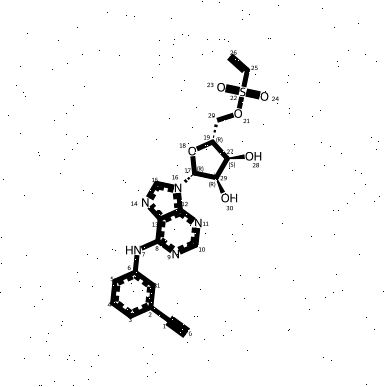 C#Cc1cccc(Nc2ncnc3c2ncn3[C@@H]2O[C@H](COS(=O)(=O)C=C)[C@@H](O)[C@H]2O)c1